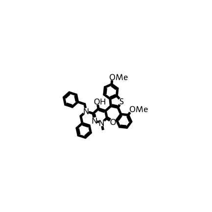 COc1ccc2c(-c3c(O)c(N(Cc4ccccc4)Cc4ccccc4)nn(C)c3=O)c(-c3ccccc3OC)sc2c1